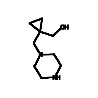 OCC1(CN2CCNCC2)CC1